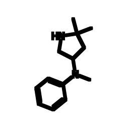 CN(c1ccccc1)C1CNC(C)(C)C1